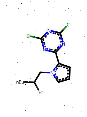 CCCCC(CC)Cn1cccc1-c1nc(Cl)nc(Cl)n1